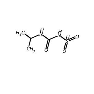 CC(C)NC(=O)N[SH](=O)=O